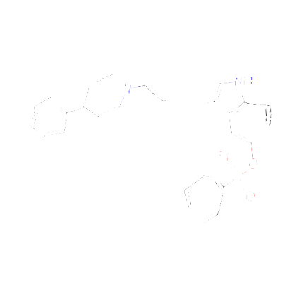 O=S(=O)(Oc1ccc2[nH]cc(CSCCN3CCC(c4ccccc4)CC3)c2c1)c1ccccc1